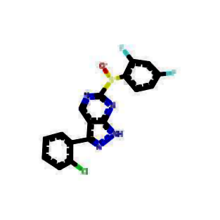 [O-][S+](c1ncc2c(-c3ccccc3Cl)n[nH]c2n1)c1ccc(F)cc1F